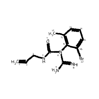 C=CCNC(=O)N(C(=N)N)c1c(C)cccc1Br